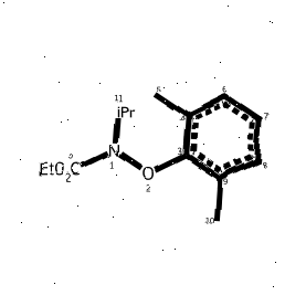 CCOC(=O)N(Oc1c(C)cccc1C)C(C)C